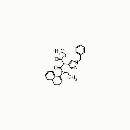 CCN(C(=O)C(C(=O)OC)c1cnn(Cc2ccccc2)c1)c1cccc2ccccc12